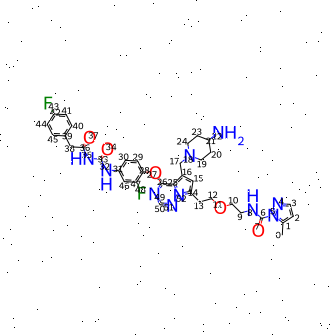 Cc1ccnn1C(=O)NCCOCCc1cc(CN2CCC(N)CC2)c2c(Oc3ccc(NC(=O)NC(=O)Cc4ccc(F)cc4)cc3F)ncnn12